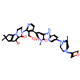 C[C@H]1CN(C2COC2)CCN1c1ccc(Nc2cc(-c3ccnc(N4CCn5c6c(c(Br)c5C4=O)CC(C)(C)C6)c3CO)cn(C)c2=O)nc1